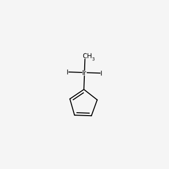 [CH3][Ir]([I])([I])[C]1=CC=CC1